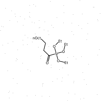 CCCCCCCCCCC(=O)[Si](OCC)(OCC)OCC